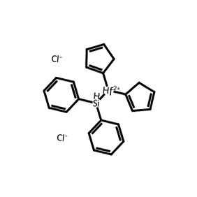 C1=CC[C]([Hf+2]([C]2=CC=CC2)[SiH](c2ccccc2)c2ccccc2)=C1.[Cl-].[Cl-]